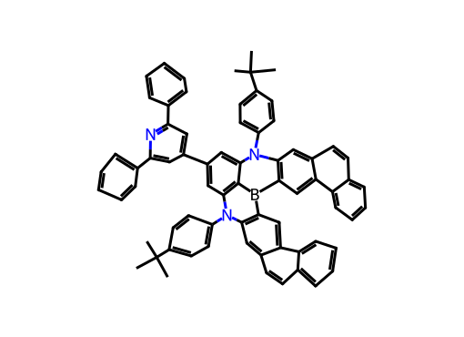 CC(C)(C)c1ccc(N2c3cc4ccc5ccccc5c4cc3B3c4cc5c(ccc6ccccc65)cc4N(c4ccc(C(C)(C)C)cc4)c4cc(-c5cc(-c6ccccc6)nc(-c6ccccc6)c5)cc2c43)cc1